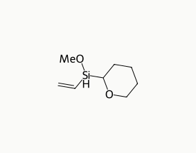 C=C[SiH](OC)C1CCCCO1